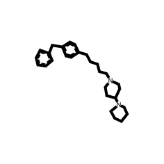 c1ccc(Cc2ccc(CCCCCN3CCC(N4CCCCC4)CC3)cc2)cc1